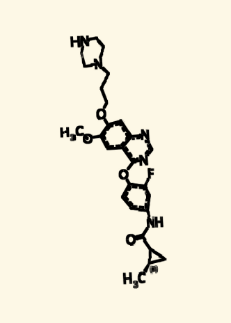 COc1cc2c(Oc3ccc(NC(=O)C4C[C@H]4C)cc3F)ncnc2cc1OCCCN1CCNCC1